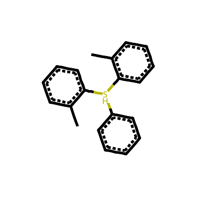 Cc1ccccc1[SH](c1ccccc1)c1ccccc1C